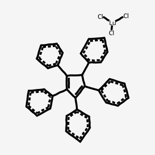 [Cl][Lu]([Cl])[Cl].c1ccc([C]2C(c3ccccc3)=C(c3ccccc3)C(c3ccccc3)=C2c2ccccc2)cc1